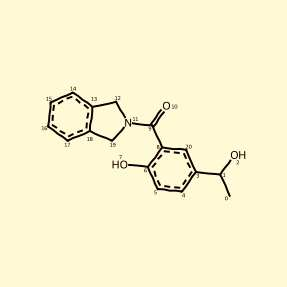 CC(O)c1ccc(O)c(C(=O)N2Cc3ccccc3C2)c1